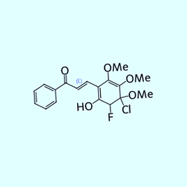 COC1=C(OC)C(Cl)(OC)C(F)C(O)=C1/C=C/C(=O)c1ccccc1